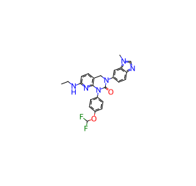 CCNc1ccc2c(n1)N(c1ccc(OC(F)F)cc1)C(=O)N(c1ccc3ncn(C)c3c1)C2